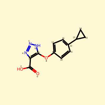 O=C(O)c1nn[nH]c1Oc1ccc(C2CC2)cc1